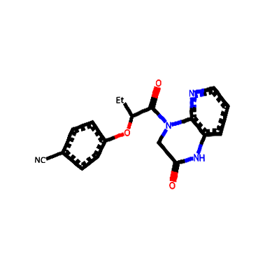 CCC(Oc1ccc(C#N)cc1)C(=O)N1CC(=O)Nc2cccnc21